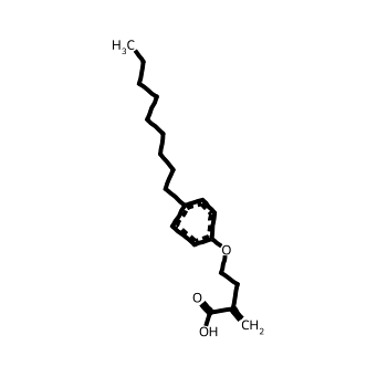 C=C(CCOc1ccc(CCCCCCCCC)cc1)C(=O)O